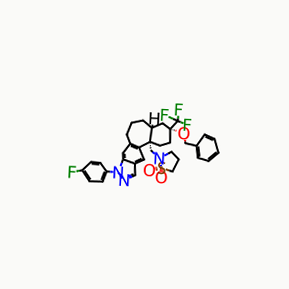 O=S1(=O)CCCN1C[C@@]12CC[C@](OCc3ccccc3)(C(F)(F)F)C[C@H]1CCCc1cc3c(cnn3-c3ccc(F)cc3)cc12